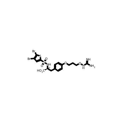 N=C(N)NOCCCOc1ccc(C[C@H](NS(=O)(=O)c2cc(Br)c(Br)s2)C(=O)O)cc1